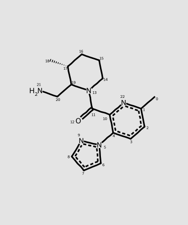 Cc1ccc(-n2cccn2)c(C(=O)N2CCC[C@@H](C)C2CN)n1